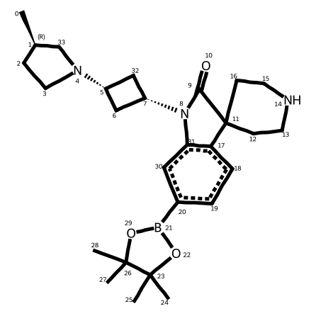 C[C@@H]1CCN([C@H]2C[C@@H](N3C(=O)C4(CCNCC4)c4ccc(B5OC(C)(C)C(C)(C)O5)cc43)C2)C1